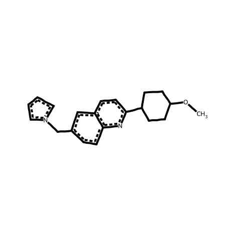 COC1CCC(c2ccc3cc(Cn4cccc4)ccc3n2)CC1